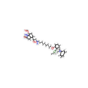 O=C(O)N(Cc1cccc(OCCCCCCCCCNC[C@H](O)c2ccc(O)c3[nH]c(=O)ccc23)c1Cl)c1ccccc1